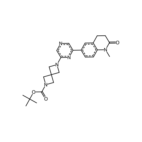 CN1C(=O)CCc2cc(-c3cncc(N4CC5(CN(C(=O)OC(C)(C)C)C5)C4)n3)ccc21